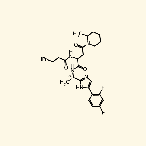 CC(C)CCC(=O)NC(CC(=O)N1CCCCC1C)C(=O)N[C@@H](C)c1ncc(-c2ccc(F)cc2F)[nH]1